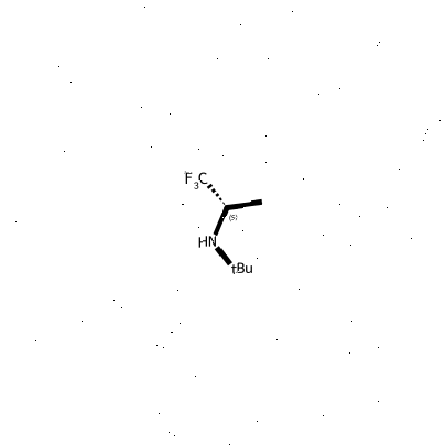 C[C@H](NC(C)(C)C)C(F)(F)F